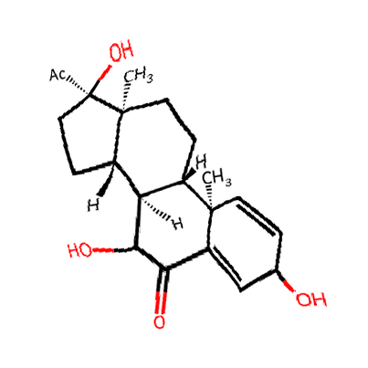 CC(=O)[C@@]1(O)CC[C@H]2[C@@H]3C(O)C(=O)C4=CC(O)C=C[C@]4(C)[C@H]3CC[C@@]21C